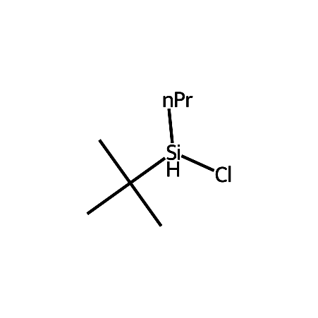 CCC[SiH](Cl)C(C)(C)C